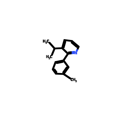 Cc1cccc(-c2ncccc2C(C)C)c1